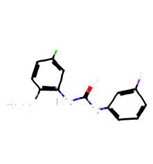 O=C(Nc1cccc(I)c1)Nc1cc(Cl)ccc1C(=O)O